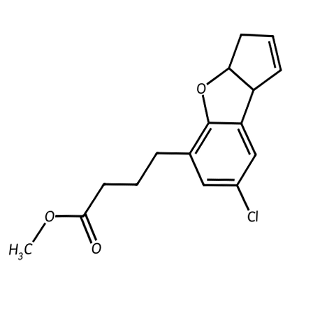 COC(=O)CCCc1cc(Cl)cc2c1OC1CC=CC21